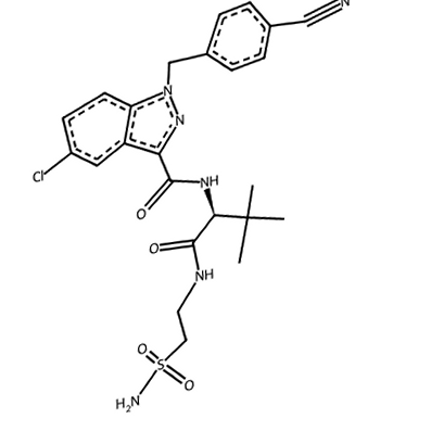 CC(C)(C)[C@H](NC(=O)c1nn(Cc2ccc(C#N)cc2)c2ccc(Cl)cc12)C(=O)NCCS(N)(=O)=O